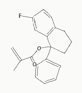 C=C(C)C(=O)OC1(c2ccccc2)CCCc2ccc(F)cc21